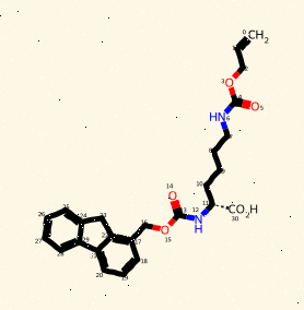 C=CCOC(=O)NCCCC[C@@H](NC(=O)OCc1cccc2c1Cc1ccccc1-2)C(=O)O